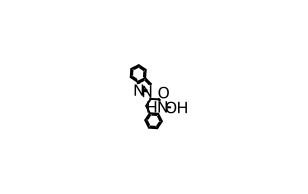 O=C(NO)C(Cc1ccccc1)n1cc2ccccc2n1